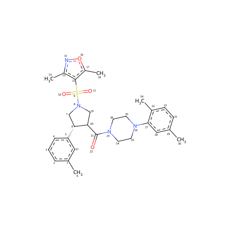 Cc1cccc([C@@H]2CN(S(=O)(=O)c3c(C)noc3C)CC2C(=O)N2CCN(c3cc(C)ccc3C)CC2)c1